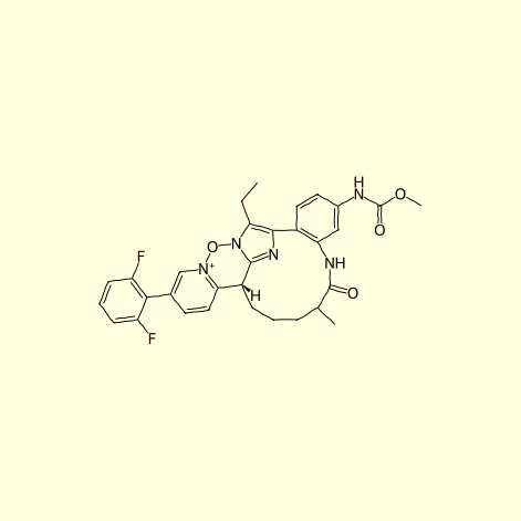 CCc1c2nc3n1O[n+]1cc(-c4c(F)cccc4F)ccc1[C@H]3CCCC(C)C(=O)Nc1cc(NC(=O)OC)ccc1-2